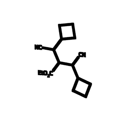 CCOC(=O)C(C(C#N)C1CCC1)C(C#N)C1CCC1